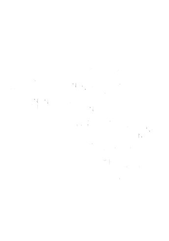 Cn1ccc(-c2cc(C(=O)Nc3cc(-c4ccc(=O)[nH]n4)nn3-c3ccccc3)ccc2OC(F)(F)F)n1